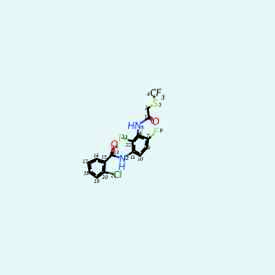 O=C(CSC(F)(F)F)Nc1c(F)ccc(NC(=O)c2ccccc2Cl)c1F